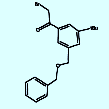 CC(C)(C)c1cc(COCc2ccccc2)cc(C(=O)CBr)c1